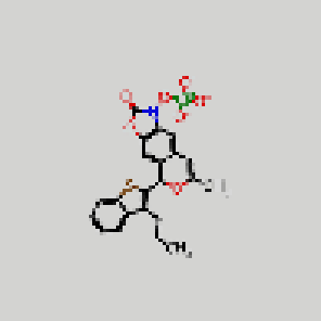 CCCc1c(C2OC(C)=Cc3cc4c(cc32)oc(=O)n4O[Cl+3]([O-])([O-])[O-])sc2ccccc12